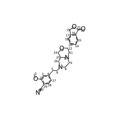 COc1cc(CCN2CCN3C[C@@H](c4ccc5c(c4)COC5=O)OCC3C2)ccc1C#N